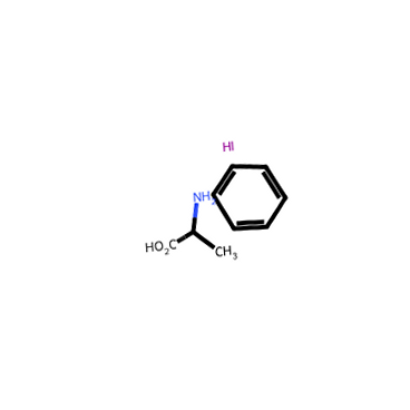 CC(N)C(=O)O.I.c1ccccc1